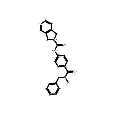 CN(Cc1ccccc1)C(=O)c1ccc(NC(=O)N2Cc3ccncc3C2)cc1